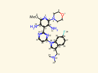 COc1nc(N2CCOCC2)c(N)c(-c2nccc(-n3cc(CN(C)C)c4ccc(F)cc43)n2)c1N